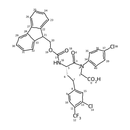 O=C(O)CN(C(=O)[C@H](CCc1ccc(C(F)(F)F)c(Cl)c1)NC(=O)OCC1c2ccccc2-c2ccccc21)c1ccc(Cl)cc1